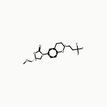 COC[C@H]1CN(c2ccc3c(c2)CC[C@@H](CCC(F)(F)F)O3)C(=O)O1